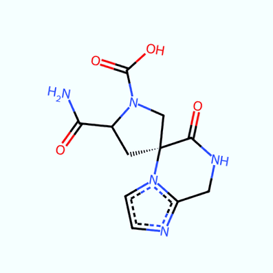 NC(=O)C1C[C@]2(CN1C(=O)O)C(=O)NCc1nccn12